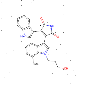 CSc1cccc2c(C3=C(c4c[nH]c5ccccc45)C(=O)NC3=O)cn(CCCO)c12